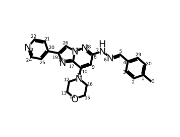 Cc1ccc(C=NNc2cc(N3CCOCC3)c3nc(-c4ccncc4)cn3n2)cc1